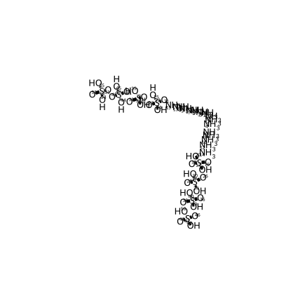 N.N.N.N.N.N.N.N.N.N.N.N.N.N.N.N.O=S(=O)(O)O.O=S(=O)(O)O.O=S(=O)(O)O.O=S(=O)(O)O.O=S(=O)(O)O.O=S(=O)(O)O.O=S(=O)(O)O.O=S(=O)(O)O